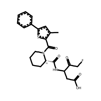 Cc1cc(-c2ccccc2)sc1C(=O)N1CCCC[C@H]1C(=O)NC(CC(=O)O)C(=O)CF